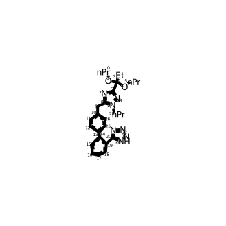 CCCOC(CC)(OCCC)c1nc(Cc2ccc(-c3ccccc3-c3nnn[nH]3)cc2)n(CCC)n1